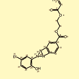 C=CC(=O)OCCOC(=O)c1ccc2c(c1)n1n(-c3cc(CC)ccc3O)n21